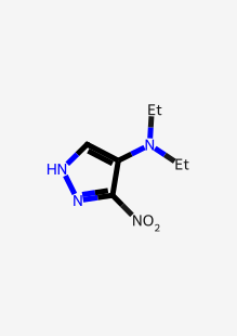 CCN(CC)c1c[nH]nc1[N+](=O)[O-]